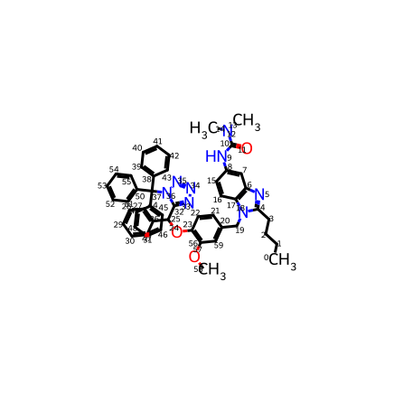 CCCCc1nc2cc(NC(=O)N(C)C)ccc2n1Cc1ccc(OC(c2ccccc2)c2nnnn2C(c2ccccc2)(c2ccccc2)c2ccccc2)c(OC)c1